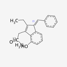 CCC1=C(C[12C](N)=O)c2c(O)cccc2/C1=C\c1ccccc1